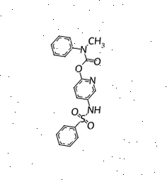 CN(C(=O)Oc1ccc(NS(=O)(=O)c2ccccc2)cn1)c1ccccc1